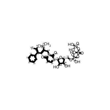 C=N/C(=C\C(=C(/C)F)c1ccccc1)Cn1c(=O)ccn([C@@H]2O[C@H](COP(=O)(O)OP(=O)(O)OP(=O)(O)O)C(O)C2O)c1=O